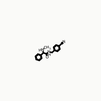 CNC(C(=O)NCc1ccc(C#N)cc1)c1ccccc1